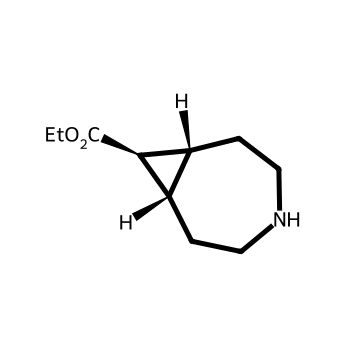 CCOC(=O)[C@H]1[C@@H]2CCNCC[C@@H]21